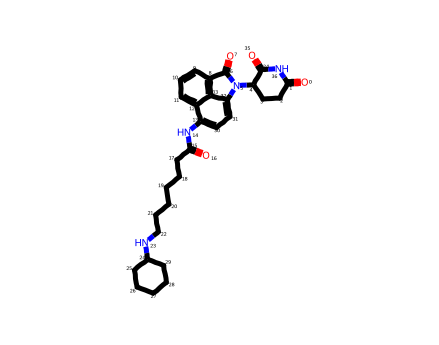 O=C1CCC(N2C(=O)c3cccc4c(NC(=O)CCCCCCNC5CCCCC5)ccc2c34)C(=O)N1